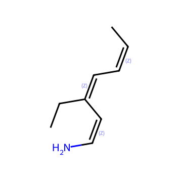 C\C=C/C=C(\C=C/N)CC